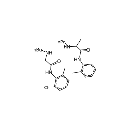 CCCCNCC(=O)Nc1c(C)cccc1Cl.CCCNC(C)C(=O)Nc1ccccc1C